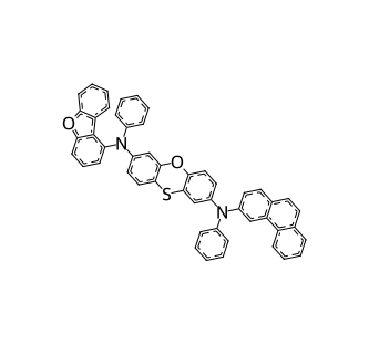 c1ccc(N(c2ccc3c(c2)Sc2ccc(N(c4ccccc4)c4cccc5oc6ccccc6c45)cc2O3)c2ccc3ccc4ccccc4c3c2)cc1